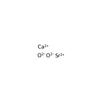 [Ca+2].[O-2].[O-2].[Sr+2]